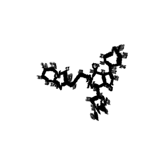 Cn1cnc(-c2nn(CCc3cn4ccccc4n3)c(=O)c3c(-c4ccncc4)csc23)c1